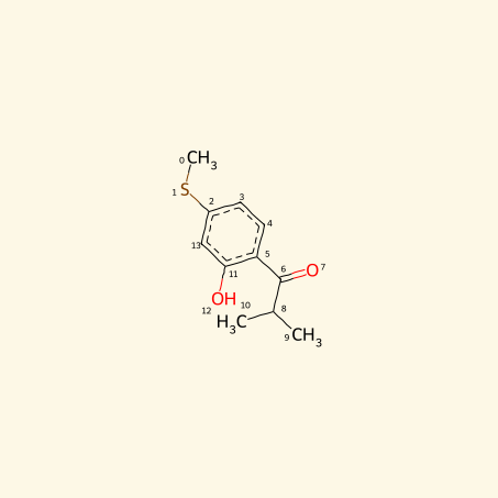 CSc1ccc(C(=O)C(C)C)c(O)c1